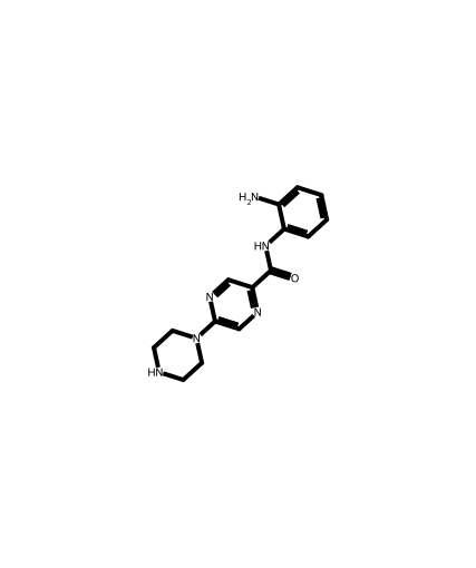 Nc1ccccc1NC(=O)c1cnc(N2CCNCC2)cn1